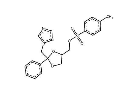 Cc1ccc(S(=O)(=O)OCC2COC(Cn3cncn3)(c3ccccc3)O2)cc1